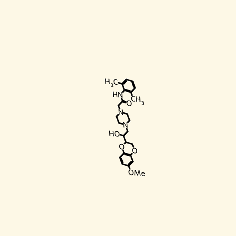 COc1ccc2c(c1)OCC(C(O)CN1CCN(CC(=O)Nc3c(C)cccc3C)CC1)O2